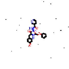 COc1ccc(CC(NC(=O)COc2ccccc2)C(=O)NNC(=O)c2cccnc2)cc1